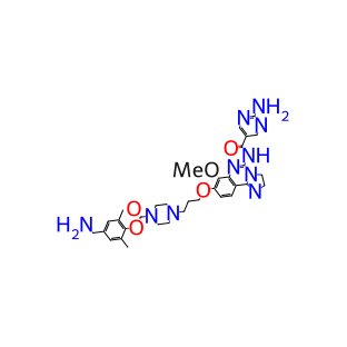 COc1c(OCCCN2CCN(C(=O)Oc3c(C)cc(CN)cc3C)CC2)ccc2c1N=C(NC(=O)c1cnc(N)nc1)N1CCN=C21